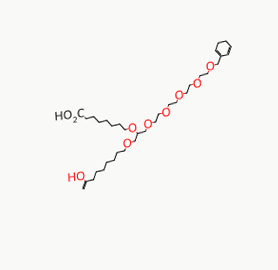 C=C(O)CCCCCCCOCC(COCCOCCOCCOCCOCC1=CCCC=C1)OCCCCCCCC(=O)O